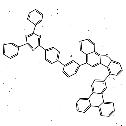 c1ccc(-c2nc(-c3ccccc3)nc(-c3ccc(-c4cccc(-c5cc6c(oc7cccc(-c8ccc9c%10ccccc%10c%10ccccc%10c9c8)c76)c6ccccc56)c4)cc3)n2)cc1